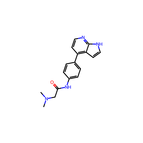 CN(C)CC(=O)Nc1ccc(-c2ccnc3[nH]ccc23)cc1